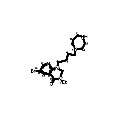 CCN1CN(CCCCN2CCCNCC2)c2ncc(Br)cc2C1=O